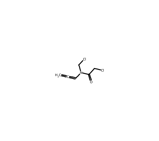 C=C=CN(CCl)C(=O)CCl